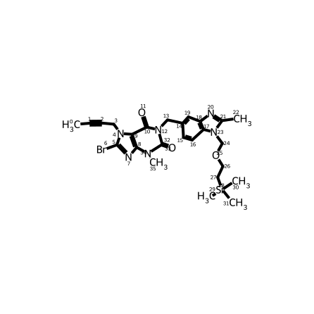 CC#CCn1c(Br)nc2c1c(=O)n(Cc1ccc3c(c1)nc(C)n3COCC[Si](C)(C)C)c(=O)n2C